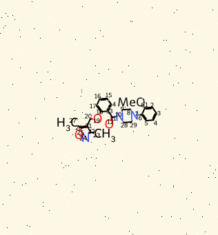 COc1ccccc1N1CCN(C(=O)c2ccccc2OCc2c(C)noc2C)CC1